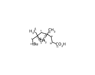 CC(C)(C)CC(C)(C)CC(C)(C)CCC(=O)O